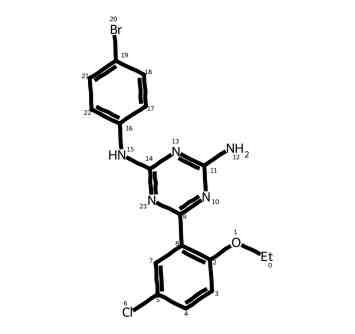 CCOc1ccc(Cl)cc1-c1nc(N)nc(Nc2ccc(Br)cc2)n1